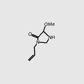 C=CCN1CNC(OC)C1=O